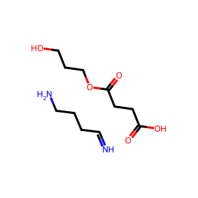 N=CCCCN.O=C(O)CCC(=O)OCCCO